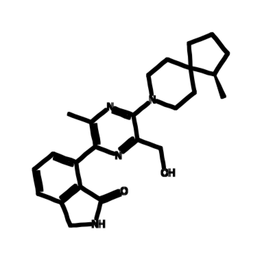 Cc1nc(N2CCC3(CCC[C@H]3C)CC2)c(CO)nc1-c1cccc2c1C(=O)NC2